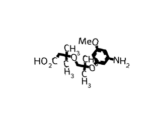 COc1cc(N)cc(OC(C)(C)COC(C)(C)CC(=O)O)c1